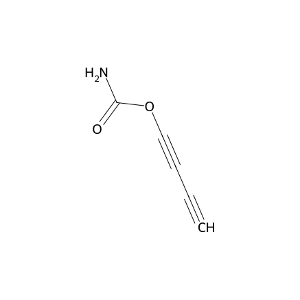 C#CC#COC(N)=O